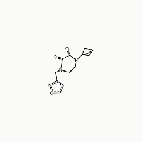 O=C1C(=O)N(C23CC(C2)C3)CCN1Cc1ccon1